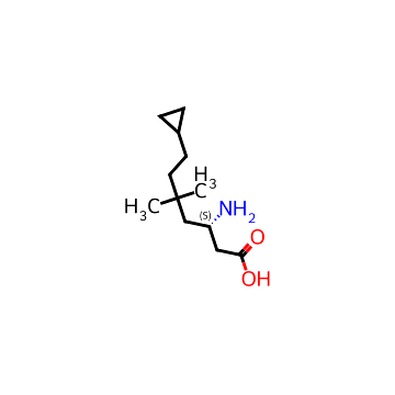 CC(C)(CCC1CC1)C[C@H](N)CC(=O)O